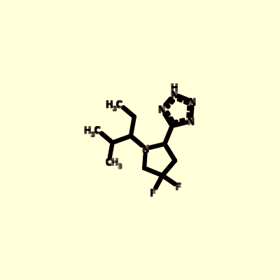 CCC(C(C)C)N1CC(F)(F)CC1c1nn[nH]n1